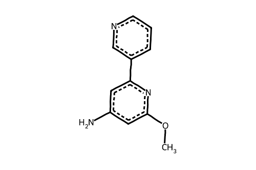 COc1cc(N)cc(-c2cccnc2)n1